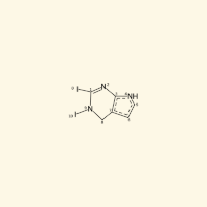 IC1=Nc2[nH]ccc2CN1I